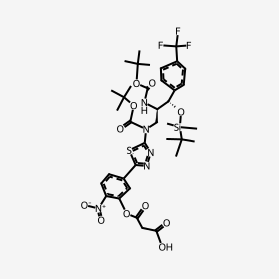 CC(C)(C)OC(=O)N[C@H](CN(C(=O)OC(C)(C)C)c1nnc(-c2ccc([N+](=O)[O-])c(OC(=O)CC(=O)O)c2)s1)[C@@H](O[Si](C)(C)C(C)(C)C)c1ccc(C(F)(F)F)cc1